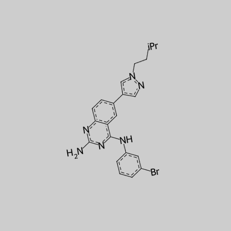 CC(C)CCn1cc(-c2ccc3nc(N)nc(Nc4cccc(Br)c4)c3c2)cn1